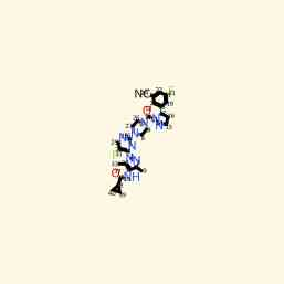 Cc1nn(-c2nc(N3CCN(C(=O)N4N=CC[C@H]4c4cc(F)cc(C#N)c4)CC3)ncc2F)c(C)c1NC(=O)C1CC1